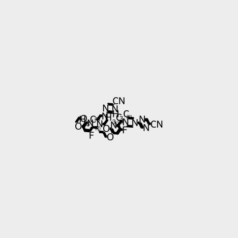 C[C@@H]1CN(c2cnc(C#N)cn2)CCN1[C@H](CC1COc2cc(F)c([C@H](C)N3CCN(c4cnc(C#N)cn4)C[C@H]3C)nc2O1)c1nc2c(cc1F)OCCO2